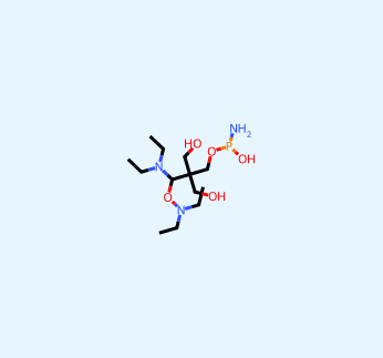 CCN(CC)OC(N(CC)CC)C(CO)(CO)COP(N)O